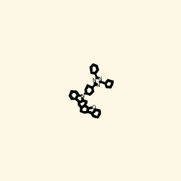 c1ccc(-c2nc(-c3ccccc3)nc(-c3ccc(-n4c5ccccc5c5cc6ccc7c8ccccc8oc7c6cc54)cc3)n2)cc1